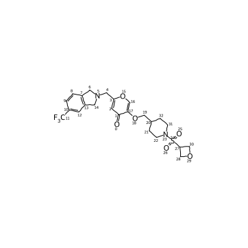 O=c1cc(CN2Cc3ccc(C(F)(F)F)cc3C2)occ1OCC1CCN(S(=O)(=O)C2COC2)CC1